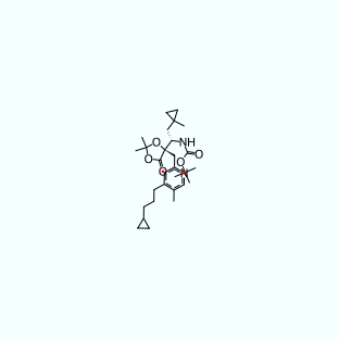 Cc1cnc(C[C@]2([C@H](CC3(C)CC3)NC(=O)OC(C)(C)C)OC(C)(C)OC2=O)cc1CCCC1CC1